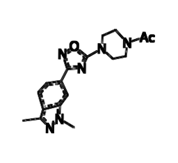 CC(=O)N1CCN(c2nc(-c3ccc4c(C)nn(C)c4c3)no2)CC1